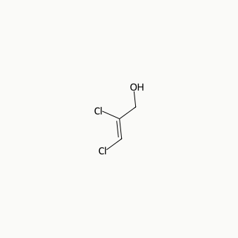 OC/C(Cl)=C/Cl